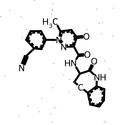 Cc1cc(=O)c(C(=O)NC2CCc3ccccc3NC2=O)nn1-c1cccc(C#N)c1